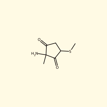 CSC1CC(=O)C(C)(N)C1=O